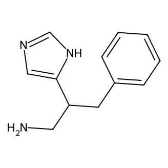 NCC(Cc1ccccc1)c1cnc[nH]1